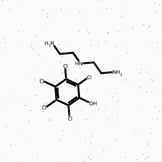 NCCNCCN.Oc1c(Cl)c(Cl)c(Cl)c(Cl)c1Cl